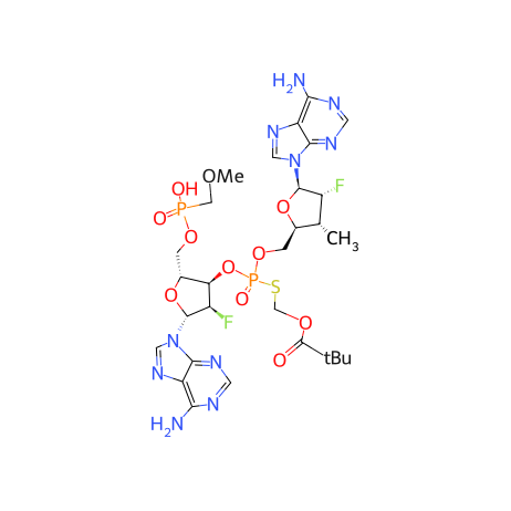 COCP(=O)(O)OC[C@H]1O[C@@H](n2cnc3c(N)ncnc32)[C@H](F)[C@@H]1OP(=O)(OC[C@H]1O[C@@H](n2cnc3c(N)ncnc32)[C@H](F)[C@@H]1C)SCOC(=O)C(C)(C)C